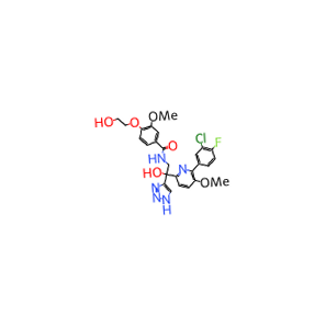 COc1cc(C(=O)NCC(O)(c2c[nH]nn2)c2ccc(OC)c(-c3ccc(F)c(Cl)c3)n2)ccc1OCCO